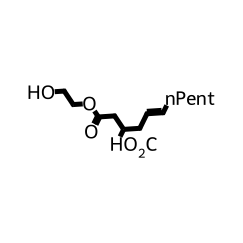 CCCCC/C=C/CC(CC(=O)OCCO)C(=O)O